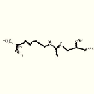 CCCCCCC(CCCC)COC(=O)NCCCC[C@H](N)C(=O)O